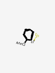 CCS.COc1ccccc1